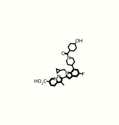 Cc1c(-c2cc3cc(F)cc(C4CCN(C(=O)C5CCC(O)CC5)CC4)c3n2CC2CC2)nn2cc(C(=O)O)ccc12